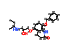 CCC(C)NCC(O)COc1ccc(OCc2ccccc2)c2c1CCC(=O)N2